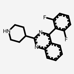 Fc1cccc(F)c1-c1nc(C2CCNCC2)nc2ccccc12